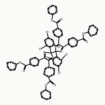 O=C(Oc1ccccc1)c1ccc(C2=NC(c3c(Cl)cc(Cl)cc3Cl)(C3(c4c(Cl)cc(Cl)cc4Cl)N=C(c4ccc(C(=O)Oc5ccccc5)cc4)C(c4ccc(C(=O)Oc5ccccc5)cc4)=N3)N=C2c2ccc(C(=O)Oc3ccccc3)cc2)cc1